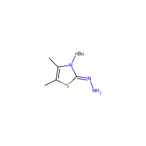 CCCCn1c(C)c(C)s/c1=N\N